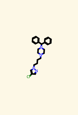 Clc1cnn(CCCCN2CCN(C(c3ccccc3)c3ccccc3)CC2)c1